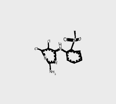 CS(=O)(=O)c1ccccc1Nc1nc(N)nc(Cl)c1Cl